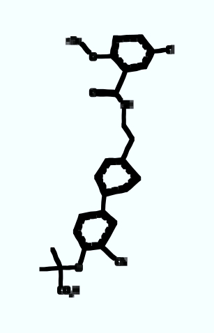 CCCCOc1ccc(Cl)cc1C(=O)NCCc1ccc(-c2ccc(OC(C)(C)C(=O)O)c(C#N)c2)cc1